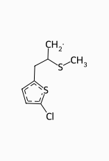 [CH2]C(Cc1ccc(Cl)s1)SC